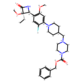 CC[C@]1(OC)C(=O)N[C@H]1c1cc(F)c(N2CCC(CN3CCN(C(=O)OCc4ccccc4)CC3)CC2)cc1OC